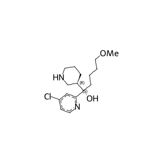 COCCCC[C@@](O)(c1cc(Cl)ccn1)[C@@H]1CCCNC1